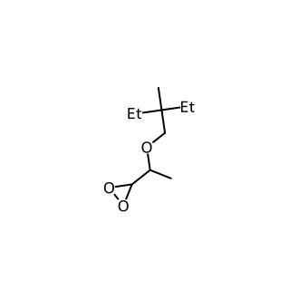 CCC(C)(CC)COC(C)C1OO1